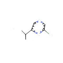 CCOC(=O)C(C(=O)OCC)c1cncc(Cl)n1